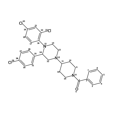 O=C(c1ccccc1)N1CCC(N2CCN(c3ccc(Cl)cc3Cl)C(c3ccc(Cl)cc3)C2)CC1